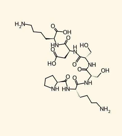 NCCCC[C@H](NC(=O)[C@H](CC(=O)O)NC(=O)[C@H](CO)NC(=O)[C@H](CO)NC(=O)[C@H](CCCCN)NC(=O)[C@@H]1CCCN1)C(=O)O